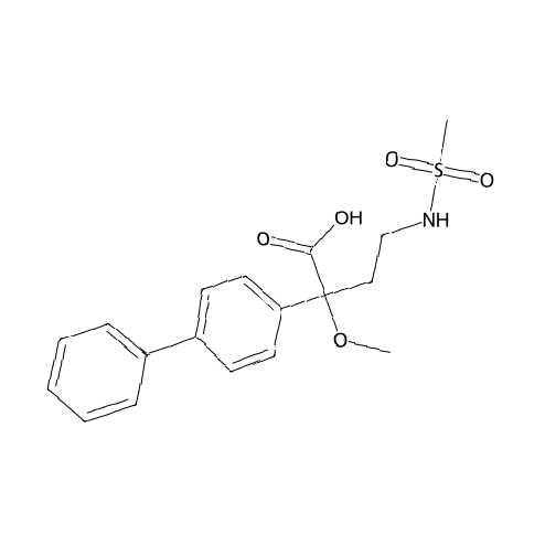 COC(CCNS(C)(=O)=O)(C(=O)O)c1ccc(-c2ccccc2)cc1